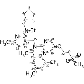 CCN(CC1CCCC1)c1nc(C)ccc1CN(c1ncc(OCCS(C)(=O)=O)cn1)C(C)c1cc(C)cc(C(F)(F)F)c1